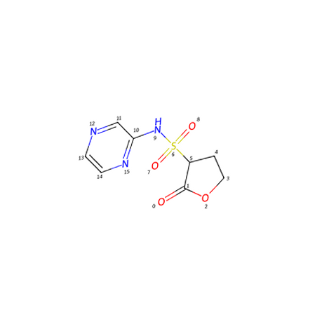 O=C1OCCC1S(=O)(=O)Nc1cnccn1